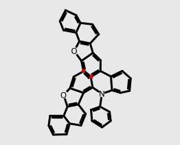 c1ccc(N(c2ccccc2-c2ccc3oc4c5ccccc5ccc4c3c2)c2cccc3oc4c5ccccc5ccc4c23)cc1